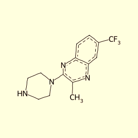 Cc1nc2cc(C(F)(F)F)ccc2nc1N1CCNCC1